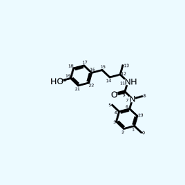 Cc1ccc(C)c(N(C)C(=O)NC(C)CCc2ccc(O)cc2)c1